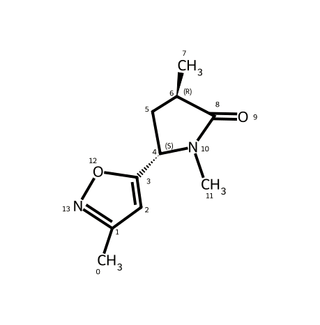 Cc1cc([C@@H]2C[C@@H](C)C(=O)N2C)on1